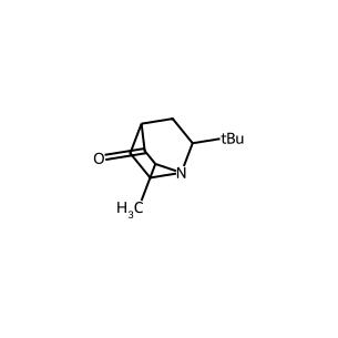 CC1C(=O)C2CCN1C(C(C)(C)C)C2